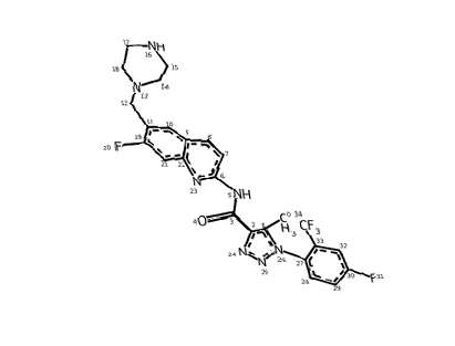 Cc1c(C(=O)Nc2ccc3cc(CN4CCNCC4)c(F)cc3n2)nnn1-c1ccc(F)cc1C(F)(F)F